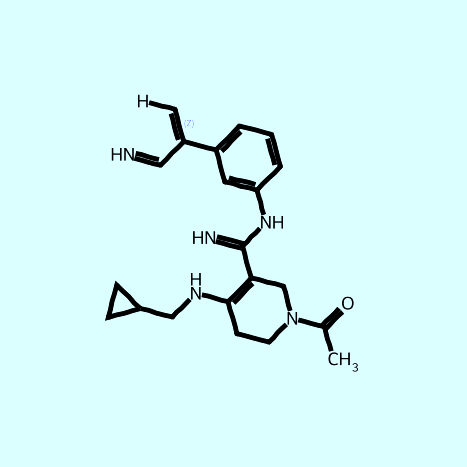 [H]/C=C(\C=N)c1cccc(NC(=N)C2=C(NCC3CC3)CCN(C(C)=O)C2)c1